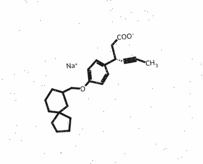 CC#C[C@@H](CC(=O)[O-])c1ccc(OCC2CCCC3(CCCC3)C2)cc1.[Na+]